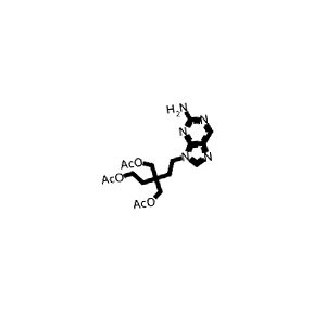 CC(=O)OCCC(CCn1cnc2cnc(N)nc21)(COC(C)=O)COC(C)=O